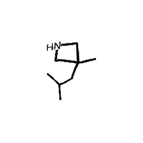 CC(C)CC1(C)CNC1